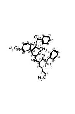 CCCCCC(NC(=O)Cc1c(C)n(C(=O)c2ccccc2)c2ccc(OC)cc12)C(=O)N(C)c1ccccc1